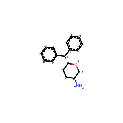 N[C@H]1CC[C@H](C(c2ccccc2)c2ccccc2)OC1